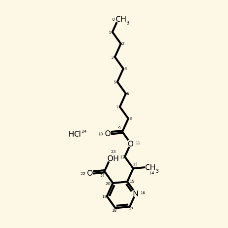 CCCCCCCCCC(=O)OCC(C)c1ncccc1C(=O)O.Cl